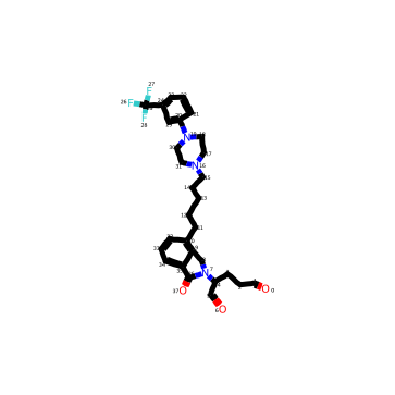 O=CCCC(C=O)N1Cc2c(CCCCCN3CCN(c4cccc(C(F)(F)F)c4)CC3)cccc2C1=O